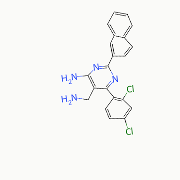 NCc1c(N)nc(-c2ccc3ccccc3c2)nc1-c1ccc(Cl)cc1Cl